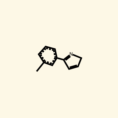 Cc1cccc(C2=NCC=C2)c1